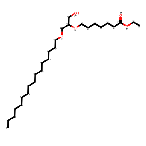 CCCCCCCCCCCCCCCCOCC(CO)OCCCCCCC(=O)OCC